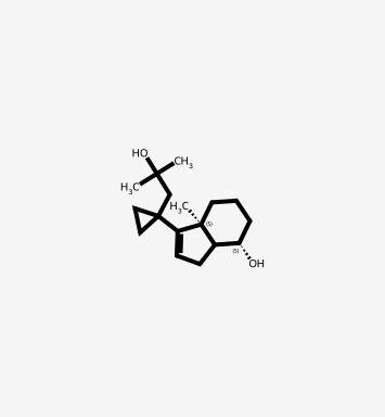 CC(C)(O)CC1(C2=CCC3[C@@H](O)CCC[C@]23C)CC1